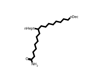 CCCCCCCCCCCCCCCCCCC(CCCCCCC)CCCCCCCC(N)=O